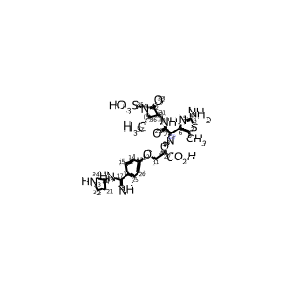 Cc1sc(N)nc1/C(=N/O[C@@H](COc1ccc(C(=N)N[C@H]2CCNC2)cc1)C(=O)O)C(=O)N[C@@H]1C(=O)N(S(=O)(=O)O)[C@H]1C